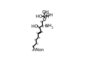 CCCCCCCCCCCCC/C=C/[C@@H](O)[C@@H](N)CO[PH](O)(O)O